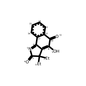 CCC1(CC)C(=O)N=C2C1=C(O)C(=O)c1ccccc12